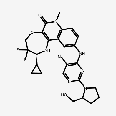 Cn1c(=O)c2c(c3cc(Nc4nc(N5CCC[C@H]5CO)ncc4Cl)ccc31)N[C@@H](C1CC1)C(F)(F)CO2